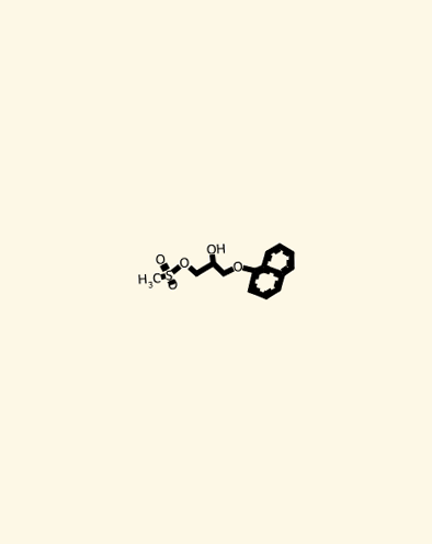 CS(=O)(=O)OCC(O)COc1cccc2ccccc12